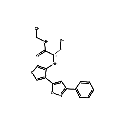 CC(C)C[C@H](Nc1cscc1-c1cc(-c2ccccc2)no1)C(=O)NCC#N